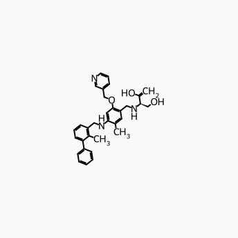 C=C(O)[C@@H](CO)NCc1cc(C)c(NCc2cccc(-c3ccccc3)c2C)cc1OCc1cccnc1